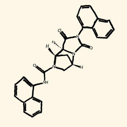 O=C1[C@@H]2[C@@H]3C[C@@H](CN3C(=O)Nc3cccc4ccccc34)N2C(=O)N1c1cccc2ccccc12